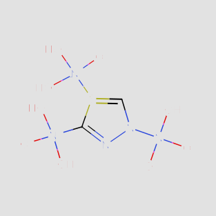 [O-][N+](O)(O)C1=NN([N+]([O-])(O)O)C=S1[N+]([O-])(O)O